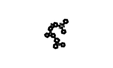 c1ccc(-c2nc(-c3ccccc3)nc(-c3ccc4sc5ccc(-n6c7ccccc7c7cc(-c8ccc9c(c8)c8ccccc8n9-c8ccccc8)ccc76)cc5c4c3)n2)cc1